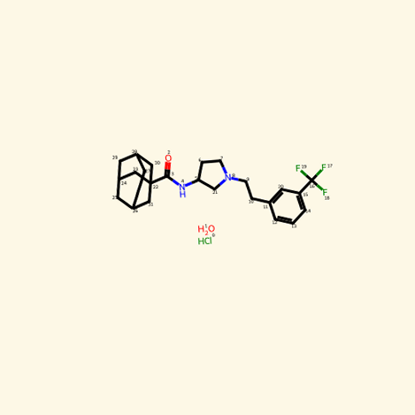 Cl.O.O=C(NC1CCN(CCc2cccc(C(F)(F)F)c2)C1)C12CC3CC(CC(C3)C1)C2